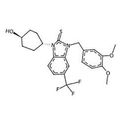 COc1ccc(Cn2c(=S)n([C@H]3CC[C@H](O)CC3)c3ccc(C(F)(F)F)cc32)cc1OC